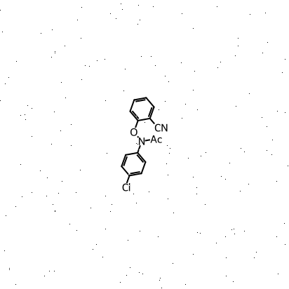 CC(=O)N(Oc1ccccc1C#N)c1ccc(Cl)cc1